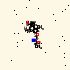 CCC(=O)NCCOc1cc(C)c(-c2cccc(C=O)c2C)c(C)c1